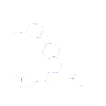 CCOC(=O)C[C@@H](Cc1ccc(-c2cccc(N)c2)cc1)NC(=O)c1n[nH]c(=O)o1